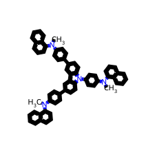 CN(c1ccc(-c2ccc3c(c2)c2cc(-c4ccc(N(C)c5cccc6ccccc56)cc4)ccc2n3-c2ccc(N(C)c3cccc4ccccc34)cc2)cc1)c1cccc2ccccc12